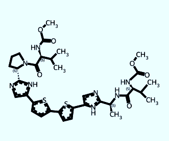 COC(=O)N[C@H](C(=O)N[C@@H](C)c1ncc(-c2ccc(-c3ccc(-c4cnc([C@@H]5CCCN5C(=O)[C@@H](NC(=O)OC)C(C)C)[nH]4)s3)s2)[nH]1)C(C)C